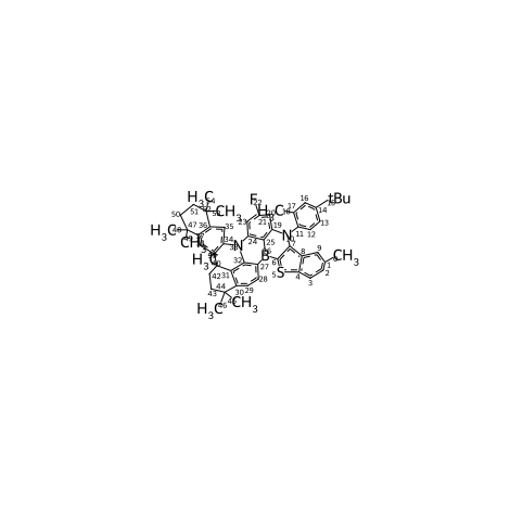 Cc1ccc2sc3c(c2c1)N(c1ccc(C(C)(C)C)cc1C)c1cc(F)cc2c1B3c1ccc3c4c1N2c1cc2c(cc1C4(C)CCC3(C)C)C(C)(C)CCC2(C)C